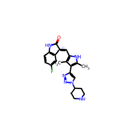 Cc1[nH]c(/C=C2/C(=O)Nc3ccc(F)cc32)c(C)c1-c1cn(C2CCNCC2)nn1